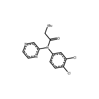 CC(C)(C)CC(=O)N(c1ccc(Cl)c(Cl)c1)c1cnccn1